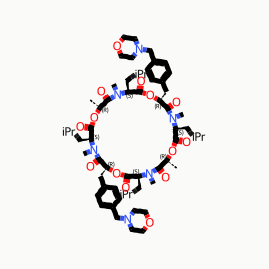 CC(C)C[C@H]1C(=O)O[C@H](Cc2ccc(CN3CCOCC3)cc2)C(=O)N(C)[C@@H](CC(C)C)C(=O)O[C@H](C)C(=O)N(C)[C@@H](CC(C)C)C(=O)O[C@H](Cc2ccc(CN3CCOCC3)cc2)C(=O)N(C)[C@@H](CC(C)C)C(=O)O[C@H](C)C(=O)N1C